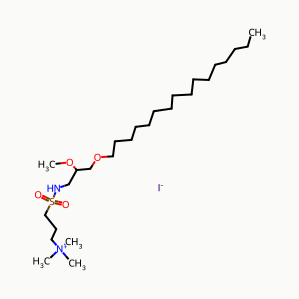 CCCCCCCCCCCCCCCCOCC(CNS(=O)(=O)CCC[N+](C)(C)C)OC.[I-]